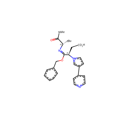 CNC(=O)[C@@H](N=C(OCc1ccccc1)[C@@H](CC(=O)O)n1ccc(-c2ccncc2)c1)C(C)(C)C